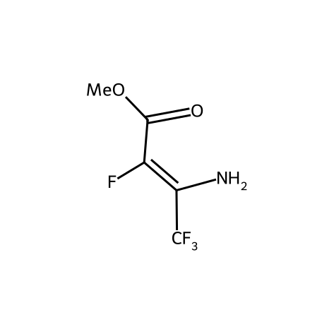 COC(=O)C(F)=C(N)C(F)(F)F